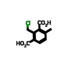 Cc1ccc(C(=O)O)c(CCl)c1C(=O)O